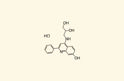 Cl.OCC(O)CNc1cc(-c2ccccc2)nc2cc(O)ccc12